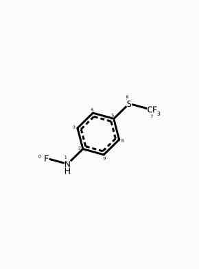 FNc1ccc(SC(F)(F)F)cc1